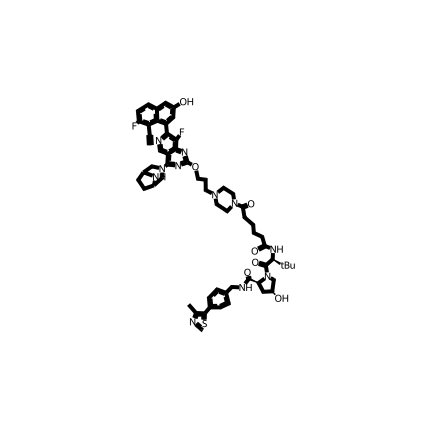 C#Cc1c(F)ccc2cc(O)cc(-c3ncc4c(N5CC6CCC(C5)N6)nc(OCCCN5CCN(C(=O)CCCCC(=O)N[C@H](C(=O)N6C[C@H](O)C[C@H]6C(=O)NCc6ccc(-c7scnc7C)cc6)C(C)(C)C)CC5)nc4c3F)c12